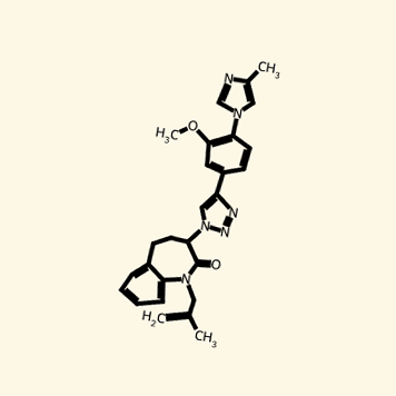 C=C(C)CN1C(=O)C(n2cc(-c3ccc(-n4cnc(C)c4)c(OC)c3)nn2)CCc2ccccc21